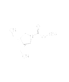 CC(C)(C)OC(=O)N1C[C@@H](CC#N)[C@@H](CC#N)C1